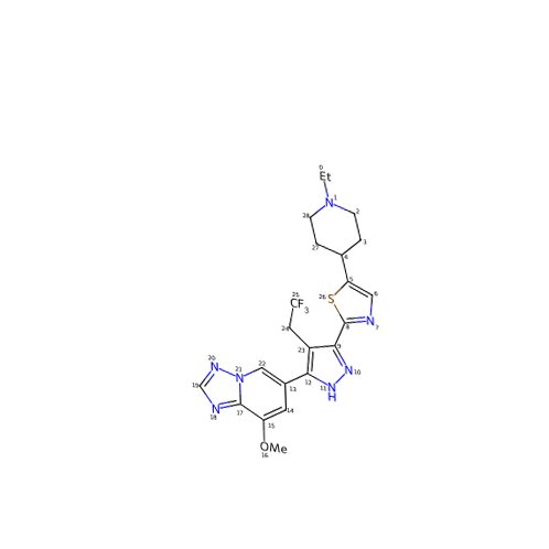 CCN1CCC(c2cnc(-c3n[nH]c(-c4cc(OC)c5ncnn5c4)c3CC(F)(F)F)s2)CC1